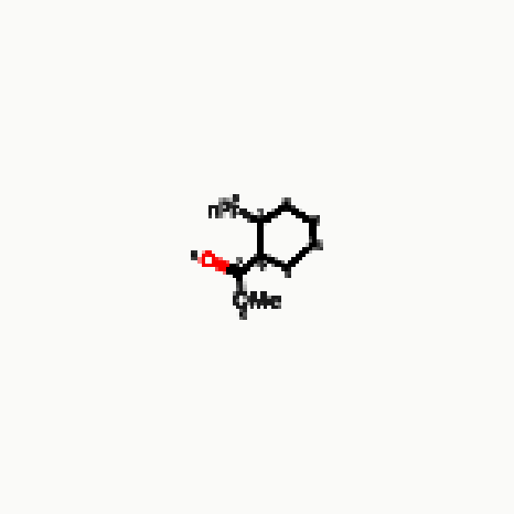 CCCC1CCCCC1C(=O)OC